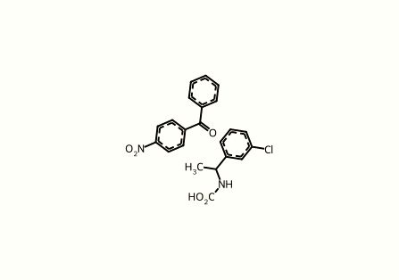 CC(NC(=O)O)c1cccc(Cl)c1.O=C(c1ccccc1)c1ccc([N+](=O)[O-])cc1